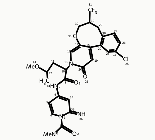 CNC(=O)n1ccc(NC(=O)C(CC(C)OC)n2cc3c(cc2=O)-c2cc(Cl)ccc2CC(C(F)(F)F)CO3)cc1=N